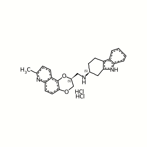 Cc1ccc2c3c(ccc2n1)OC[C@H](CN[C@H]1CCc2c([nH]c4ccccc24)C1)O3.Cl.Cl